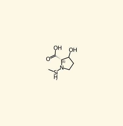 C[SiH](C)N1CCC(O)[C@H]1C(=O)O